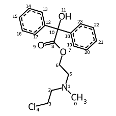 CN(CCCl)CCOC(=O)C(O)(c1ccccc1)c1ccccc1